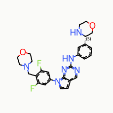 Fc1cc(-n2ccc3cnc(Nc4cccc([C@H]5COCCN5)c4)nc32)cc(F)c1CN1CCOCC1